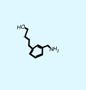 NCc1cccc(CC[CH]CO)c1